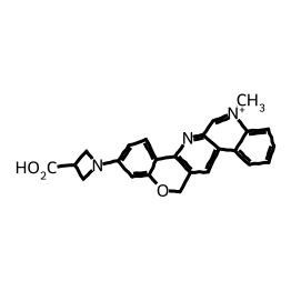 C[n+]1cc2nc3c(cc2c2ccccc21)COc1cc(N2CC(C(=O)O)C2)ccc1-3